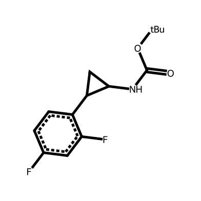 CC(C)(C)OC(=O)NC1CC1c1ccc(F)cc1F